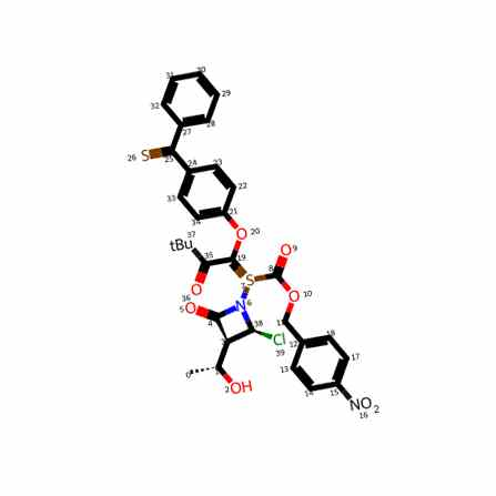 C[C@@H](O)[C@H]1C(=O)N(S(C(=O)OCc2ccc([N+](=O)[O-])cc2)=C(Oc2ccc(C(=S)c3ccccc3)cc2)C(=O)C(C)(C)C)[C@H]1Cl